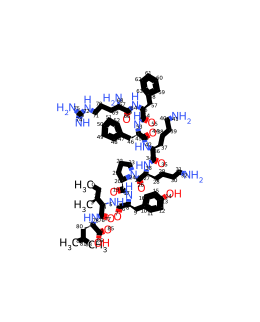 CC[C@H](C)[C@H](NC(=O)[C@H](Cc1ccc(O)cc1)NC(=O)[C@@H]1CCCN1C(=O)[C@H](CCCCN)NC(=O)[C@H](CCCCN)NC(=O)[C@H](Cc1ccccc1)NC(=O)[C@H](Cc1ccccc1)NC(=O)[C@H](N)CCCNC(=N)N)C(=O)N[C@@H](CC(C)C)C(=O)O